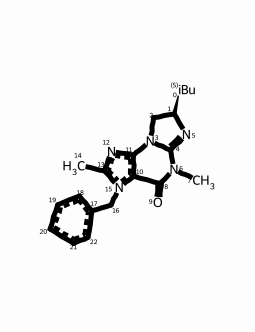 CC[C@H](C)C1CN2C(=N1)N(C)C(=O)c1c2nc(C)n1Cc1ccccc1